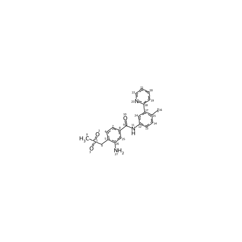 CS(=O)(=O)Cc1ccc(C(=O)Nc2ccc(I)c(-c3ccccn3)c2)cc1N